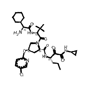 CCC[C@H](NC(=O)[C@@H]1C[C@@H](Oc2ccc(Cl)cn2)CN1C(=O)[C@@H](NC(=O)[C@@H](N)C1CCCCC1)C(C)(C)C)C(=O)C(=O)NC1CC1